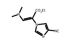 [C-]#[N+]c1cn(C(=CN(C)C)C(=O)OCC)cn1